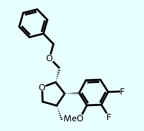 COc1c([C@@H]2[C@H](C)CO[C@@H]2COCc2ccccc2)ccc(F)c1F